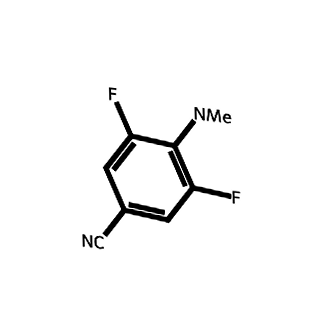 CNc1c(F)cc(C#N)cc1F